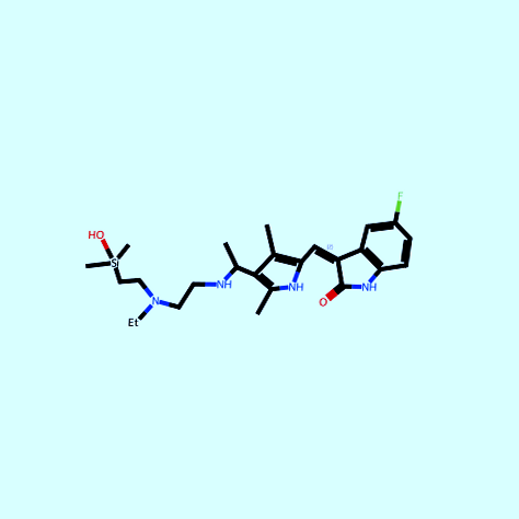 CCN(CCNC(C)c1c(C)[nH]c(/C=C2\C(=O)Nc3ccc(F)cc32)c1C)CC[Si](C)(C)O